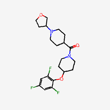 O=C(C1CCN(C2CCOC2)CC1)N1CCC(Oc2c(F)cc(F)cc2F)CC1